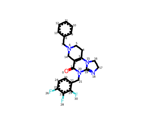 O=C1C2=C(CCN(Cc3ccccc3)C2)N2CCN=C2N1Cc1ccc(F)c(F)c1F